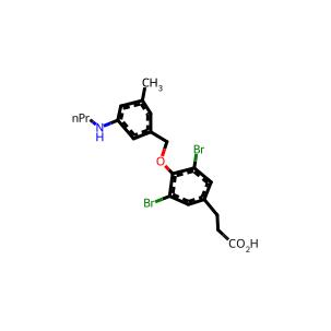 CCCNc1cc(C)cc(COc2c(Br)cc(CCC(=O)O)cc2Br)c1